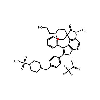 CN1C(=O)C2(CCN(CCC#N)CC2)c2c1cnc1[nH]c(-c3ccc(CN4CCC(S(C)(=O)=O)CC4)cc3)c(-c3ccccc3)c21.O=C(O)C(F)(F)F